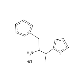 CC(c1cccs1)C(N)Cc1ccccc1.Cl